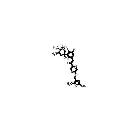 Cc1nc(COc2cnc(C(F)=Cc3cc(F)c(F)c(C4(C)CS(=O)(=O)N(C)C(N)=N4)c3)cn2)c(C)o1